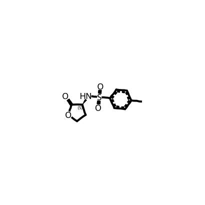 Cc1ccc(S(=O)(=O)N[C@H]2CCOC2=O)cc1